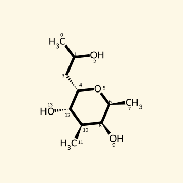 CC(O)C[C@@H]1O[C@@H](C)[C@@H](O)[C@@H](C)[C@@H]1O